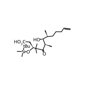 C=CCCC[C@H](C)[C@H](O)[C@@H](C)C(=O)C(C)(C)[C@H](CC(=O)O)O[Si](C)(C)C(C)(C)C